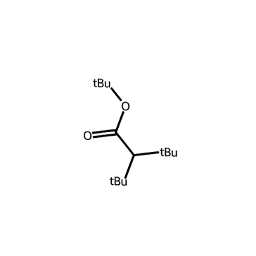 CC(C)(C)OC(=O)C(C(C)(C)C)C(C)(C)C